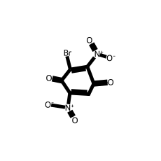 O=C1C=C([N+](=O)[O-])C(=O)C(Br)=C1[N+](=O)[O-]